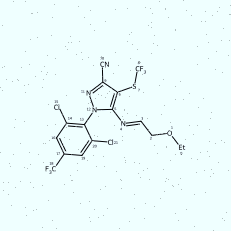 CCOCC=Nc1c(SC(F)(F)F)c(C#N)nn1-c1c(Cl)cc(C(F)(F)F)cc1Cl